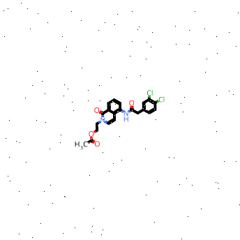 CC(=O)OCCn1ccc2c(NC(=O)Cc3ccc(Cl)c(Cl)c3)cccc2c1=O